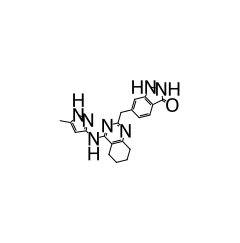 Cc1cc(Nc2nc(Cc3ccc4c(=O)[nH][nH]c4c3)nc3c2CCCC3)n[nH]1